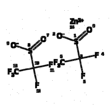 O=S([O-])C(F)(F)C(F)(F)F.O=S([O-])C(F)(F)C(F)(F)F.[Zn+2]